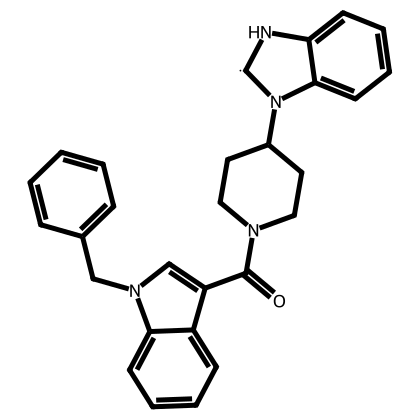 O=C(c1cn(Cc2ccccc2)c2ccccc12)N1CCC(N2[CH]Nc3ccccc32)CC1